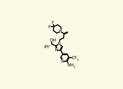 C=C(CCn1cc(-c2cnc(N)c(C(F)(F)F)c2)nc1[C@@H](O)C(C)C)N1CCC(F)(F)CC1